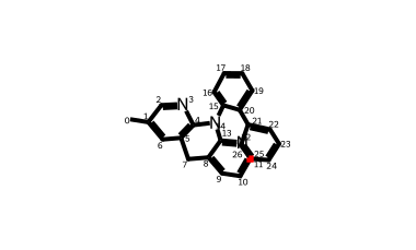 Cc1cnc2c(c1)Cc1cccnc1N2c1ccccc1-c1ccccc1